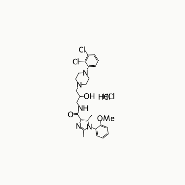 COc1ccccc1-n1c(C)nc(C(=O)NCC(O)CN2CCN(c3cccc(Cl)c3Cl)CC2)c1C.Cl.Cl